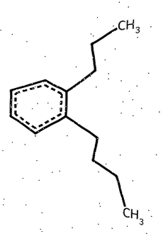 CCCCc1[c]cccc1CCC